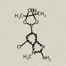 Cn1c(N)nc2cc(B3OC(C)(C)C(C)(C)O3)cc(Cl)c21